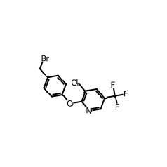 FC(F)(F)c1cnc(Oc2ccc(CBr)cc2)c(Cl)c1